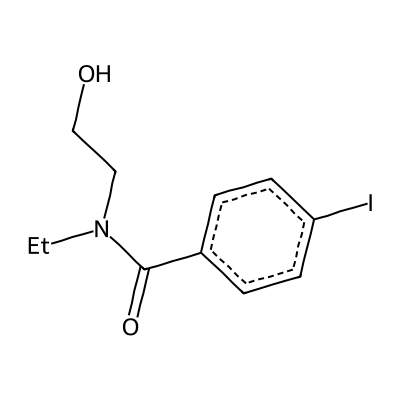 CCN(CCO)C(=O)c1ccc(I)cc1